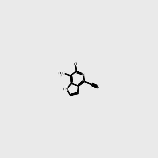 Cc1c(Cl)nc(C#N)c2cc[nH]c12